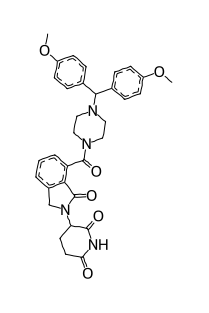 COc1ccc(C(c2ccc(OC)cc2)N2CCN(C(=O)c3cccc4c3C(=O)N(C3CCC(=O)NC3=O)C4)CC2)cc1